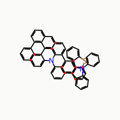 c1ccc(-c2cccc3cccc(-c4ccccc4N(c4cccc(-c5cccc6sc7ccccc7c56)c4)c4ccccc4-c4ccc5c6ccccc6n(-c6ccccc6)c5c4)c23)cc1